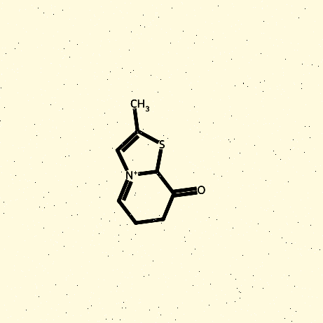 CC1=C[N+]2=CCCC(=O)C2S1